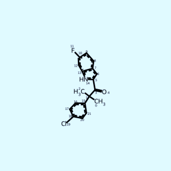 CC(C)(C(=O)c1cc2ccc(F)cc2[nH]1)c1ccc(Cl)cc1